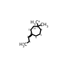 CC/C=C1\CCCC(C)(C)CC1